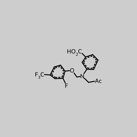 CC(=O)CN(COc1ccc(C(F)(F)F)cc1F)c1cccc(C(=O)O)c1